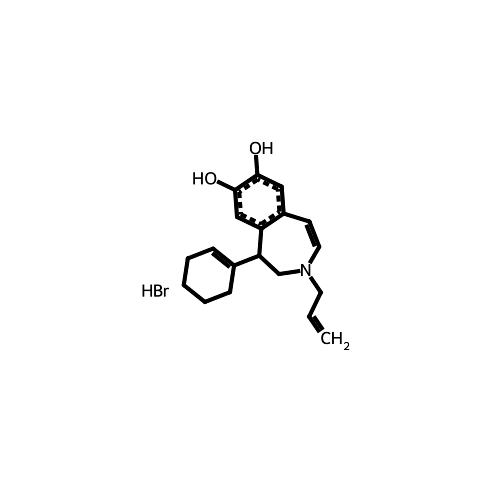 Br.C=CCN1C=Cc2cc(O)c(O)cc2C(C2=CCCCC2)C1